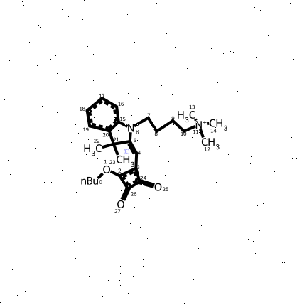 CCCCOc1c(/C=C2/N(CCCC[N+](C)(C)C)c3ccccc3C2(C)C)c(=O)c1=O